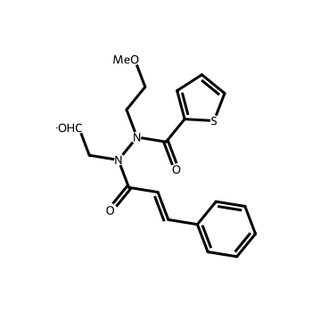 COCCN(C(=O)c1cccs1)N(C[C]=O)C(=O)C=Cc1ccccc1